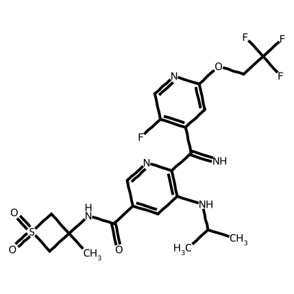 CC(C)Nc1cc(C(=O)NC2(C)CS(=O)(=O)C2)cnc1C(=N)c1cc(OCC(F)(F)F)ncc1F